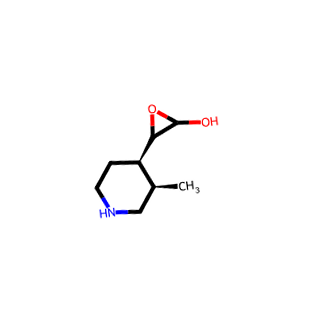 C[C@H]1CNCC[C@H]1C1OC1O